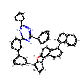 c1ccc(-c2nc(-c3ccccc3)nc(-c3cccc(-c4cccc(-c5cccc6c5oc5ccc7c(-c8cccc9ccccc89)cccc7c56)c4)c3)n2)cc1